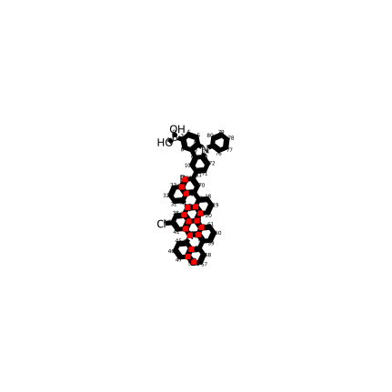 OB(O)c1ccc2c(c1)c1cc(-c3cccc(-c4cccc(-c5ccccc5)c4N(c4cccc(Br)c4)c4cc(Cl)cc(N(c5cccc(Br)c5)c5c(-c6ccccc6)cccc5-c5ccccc5)c4)c3)ccc1n2-c1ccccc1